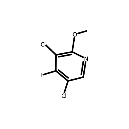 COc1ncc(Cl)c(I)c1Cl